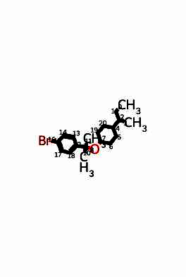 CCC(C)C1CCC(OC(C)(C)c2ccc(Br)cc2)CC1